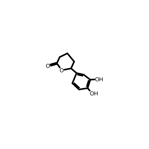 O=C1CCCC(c2ccc(O)c(O)c2)O1